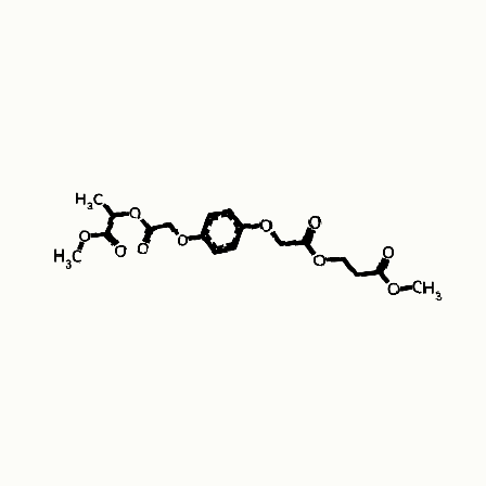 COC(=O)CCOC(=O)COc1ccc(OCC(=O)OC(C)C(=O)OC)cc1